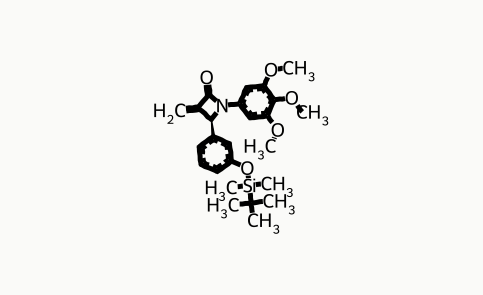 C=C1C(=O)N(c2cc(OC)c(OC)c(OC)c2)[C@H]1c1cccc(O[Si](C)(C)C(C)(C)C)c1